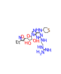 CCc1cc([C@H]2O[C@@H](n3cnc4c(NC5CCSCC5)nc(NCCNC(=N)N)nc43)[C@H](O)[C@@H]2O)on1